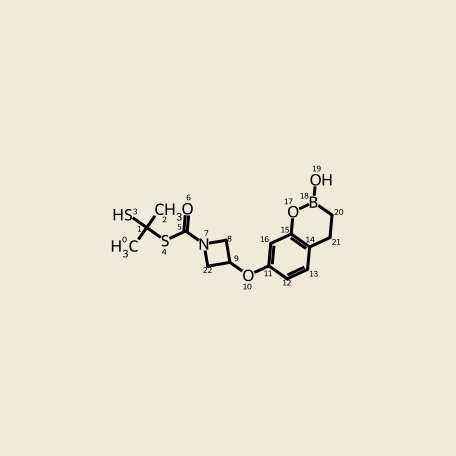 CC(C)(S)SC(=O)N1CC(Oc2ccc3c(c2)OB(O)CC3)C1